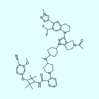 COc1cc(OC2C(C)(C)C(NC(=O)c3ccccc3N3CCC(N(C)C4CCC(n5nc(N6CCCc7cc(-c8cnn(C)c8)c(C(F)F)cc76)c6c5CCN(C(C)=O)C6)CC4)CC3)C2(C)C)ccc1C#N